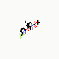 CC(C)(C)OC(=O)N1C[C@@H]2C[C@@H]1[C@H](Oc1cccc(C(F)(F)F)n1)C2